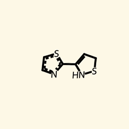 C1=C(c2nccs2)NSC1